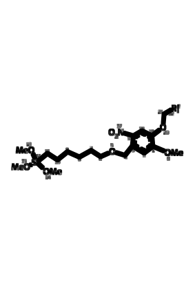 COc1cc(COCCCCCC[Si](OC)(OC)OC)c([N+](=O)[O-])cc1O[CH2][Rf]